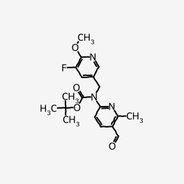 COc1ncc(CN(C(=O)OC(C)(C)C)c2ccc(C=O)c(C)n2)cc1F